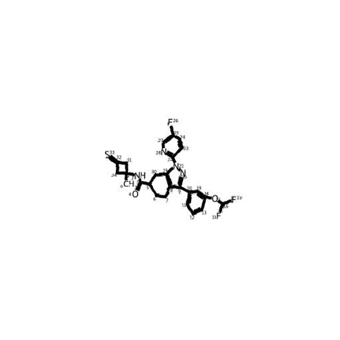 CC1(NC(=O)C2CCc3c(-c4cccc(OC(F)F)c4)nn(-c4ccc(F)cn4)c3C2)CC(=S)C1